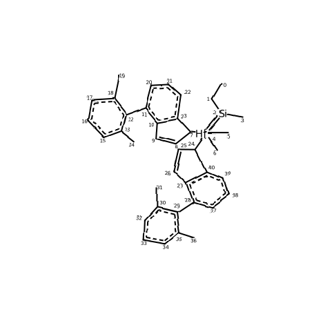 CC[Si](C)=[Hf]([CH3])([CH3])([CH]1C=Cc2c(-c3c(C)cccc3C)cccc21)[CH]1C=Cc2c(-c3c(C)cccc3C)cccc21